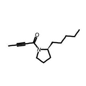 CC#CC(=O)N1CCC[C@@H]1CCCCC